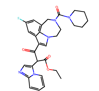 CCOC(=O)C(C(=O)c1cn2c3c(cc(F)cc13)CN(C(=O)N1CCCCC1)CC2)c1cnc2ccccn12